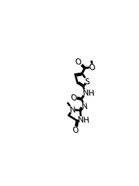 COC(=O)c1ccc(NC(=O)N=C2NC(=O)CN2C)s1